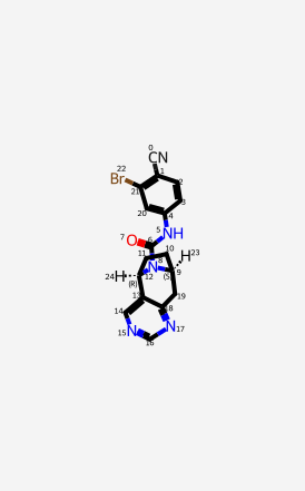 N#Cc1ccc(NC(=O)N2[C@H]3CC[C@@H]2c2cncnc2C3)cc1Br